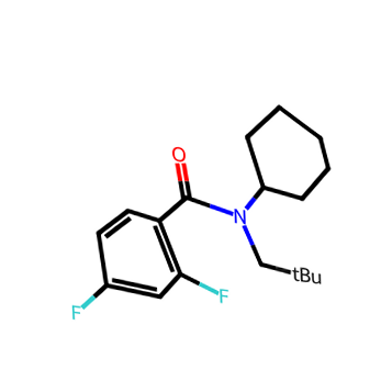 CC(C)(C)CN(C(=O)c1ccc(F)cc1F)C1CCCCC1